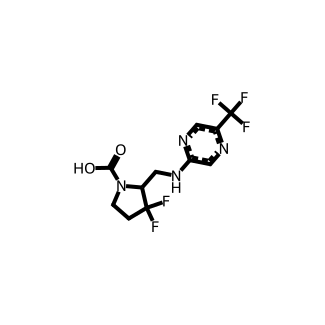 O=C(O)N1CCC(F)(F)C1CNc1cnc(C(F)(F)F)cn1